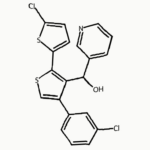 OC(c1cccnc1)c1c(-c2cccc(Cl)c2)csc1-c1ccc(Cl)s1